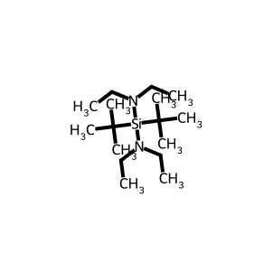 CCN(CC)[Si](N(CC)CC)(C(C)(C)C)C(C)(C)C